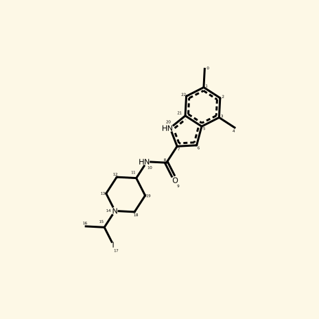 Cc1cc(C)c2cc(C(=O)NC3CCN(C(C)I)CC3)[nH]c2c1